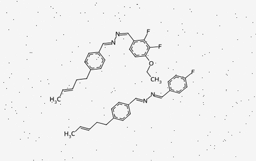 C/C=C/CCc1ccc(/C=N/N=C/c2ccc(F)cc2)cc1.C/C=C/CCc1ccc(/C=N/N=C\c2ccc(OCC)c(F)c2F)cc1